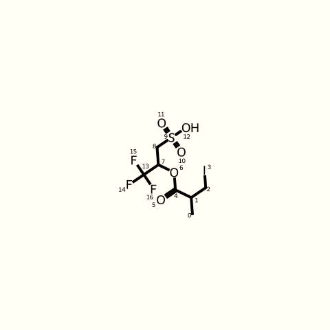 CC(CI)C(=O)OC(CS(=O)(=O)O)C(F)(F)F